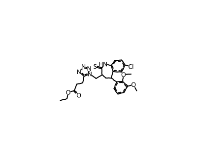 CCOC(=O)CCc1nnnn1CC1CC(c2cccc(OC)c2OC)c2cc(Cl)ccc2NC1=S